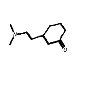 CN(C)CCC1CCCC(=O)C1